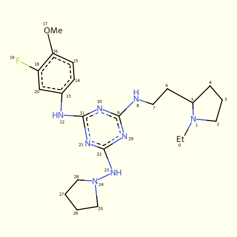 CCN1CCCC1CCNc1nc(Nc2ccc(OC)c(F)c2)nc(NN2CCCC2)n1